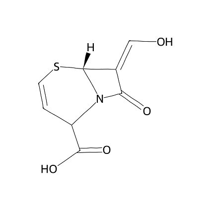 O=C(O)C1C=CS[C@@H]2/C(=C/O)C(=O)N12